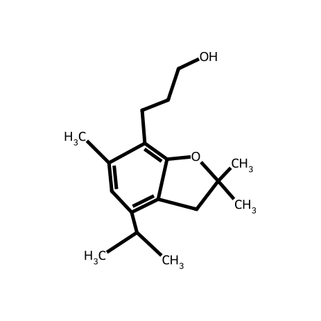 Cc1cc(C(C)C)c2c(c1CCCO)OC(C)(C)C2